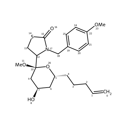 C=CCCC[C@@H]1C[C@@H](O)C[C@](OC)(C2CSC(=O)N2Cc2ccc(OC)cc2)O1